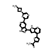 CC(=O)c1ccc(-c2ccnc3[nH]c(-c4n[nH]c5cnc(-c6cncc(N7CC(N)C7)n6)cc45)cc23)s1